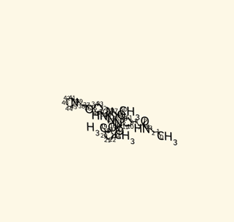 CCCCNC(=O)CCc1ccc(N(C(=O)Oc2c(C)cccc2C)c2ccnc(Nc3cccc(OCCCN4CCCCC4)c3)n2)c(OC)c1